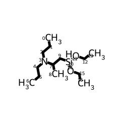 CCCN(CCC)C(C)C[SiH](OCC)OCC